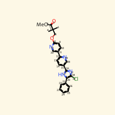 COC(=O)C(C)(C)COc1ccc(-c2ccc(-c3nc(Cl)c(-c4ccccc4)[nH]3)cn2)cn1